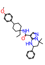 CCC1(NC(=O)c2cnn3c2NC(c2ccccc2)CC3(C)C)CCC(c2ccc(OC)cc2)CC1